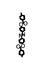 Cc1ccc(C(=O)Oc2ccc(/N=N/c3ccc(OC(=O)c4ccc(C)cc4)cc3)cc2)cc1